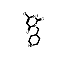 O=c1cc(Cl)[nH]c(=O)n1CC1CCNCC1